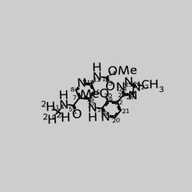 [2H]C([2H])([2H])NC(=O)c1cnc(NC(=O)OC)cc1Nc1nccc(-c2nnn(C)n2)c1OC